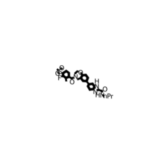 CCCNC(=O)c1nc2ccc(-c3ccc4c(c3)CN(C(=O)c3ccc(S(C)(=O)=O)c(F)c3C)CCO4)cc2[nH]1